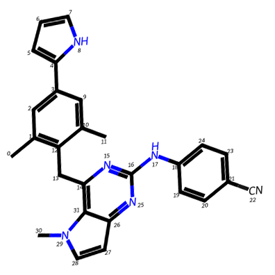 Cc1cc(-c2ccc[nH]2)cc(C)c1Cc1nc(Nc2ccc(C#N)cc2)nc2ccn(C)c12